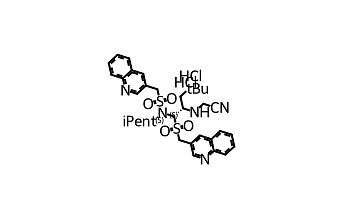 CCC[C@H](C)N([C@H](C(CC(C)(C)C)NCC#N)S(=O)(=O)Cc1cnc2ccccc2c1)S(=O)(=O)Cc1cnc2ccccc2c1.Cl.Cl